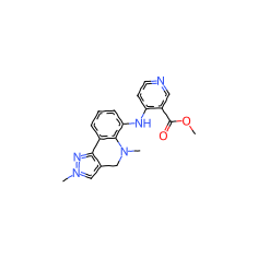 COC(=O)c1cnccc1Nc1cccc2c1N(C)Cc1cn(C)nc1-2